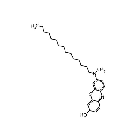 CCCCCCCCCCCCCCCN(C)c1ccc2c(c1)SC1=CC(O)C=CC1=N2